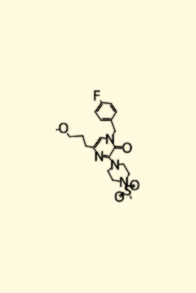 COCCCc1cn(Cc2ccc(F)cc2)c(=O)c(N2CCN(S(C)(=O)=O)CC2)n1